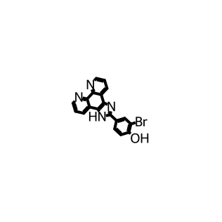 Oc1ccc(-c2nc3c4cccnc4c4ncccc4c3[nH]2)cc1Br